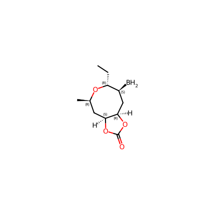 B[C@H]1C[C@H]2OC(=O)O[C@H]2C[C@@H](C)O[C@@H]1CC